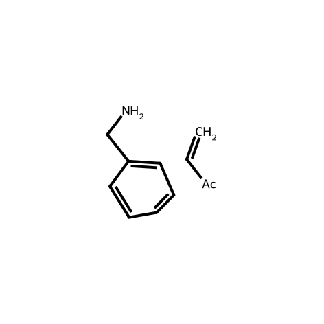 C=CC(C)=O.NCc1ccccc1